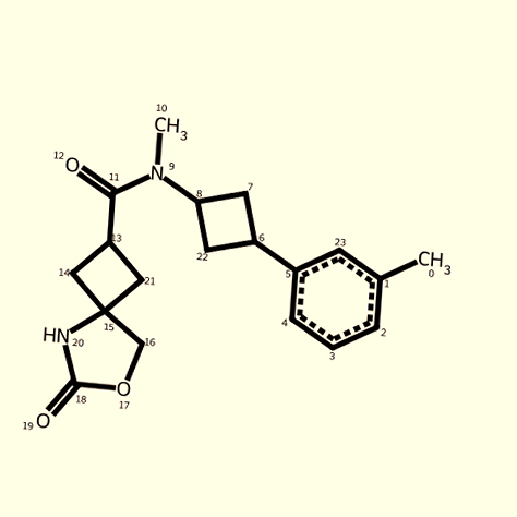 Cc1cccc(C2CC(N(C)C(=O)C3CC4(COC(=O)N4)C3)C2)c1